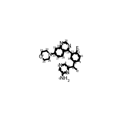 Nc1cncc(C(I)c2ccc(F)c(-c3ncnc4cc(N5CCOCC5)ccc34)c2)n1